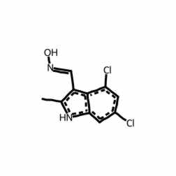 Cc1[nH]c2cc(Cl)cc(Cl)c2c1C=NO